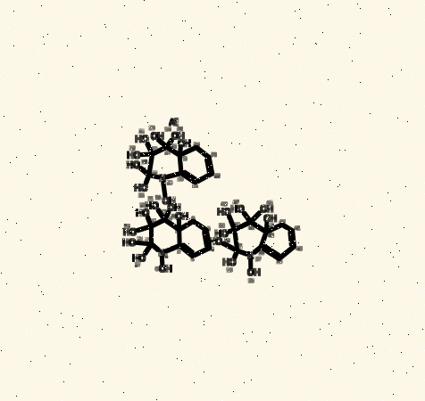 ON1C2=CC=CCC2(O)C(O)(O)C(O)(O)C1(O)O.ON1C2=CC=CCC2(O)C(O)(O)C(O)(O)C1(O)O.ON1C2=CC=CCC2(O)C(O)(O)C(O)(O)C1(O)O.[Al]